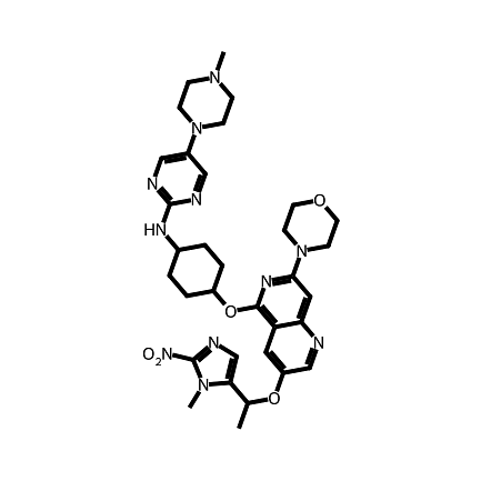 CC(Oc1cnc2cc(N3CCOCC3)nc(OC3CCC(Nc4ncc(N5CCN(C)CC5)cn4)CC3)c2c1)c1cnc([N+](=O)[O-])n1C